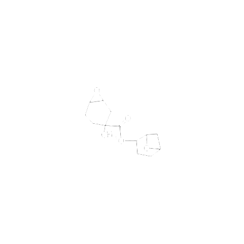 CC1(C(=O)OC2CCC3CC2O3)CCC2OC2C1